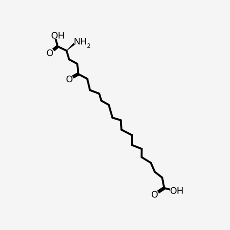 N[C@@H](CCC(=O)CCCCCCCCCCCCCCCC(=O)O)C(=O)O